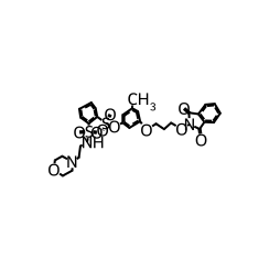 Cc1cc(OCCCON2C(=O)c3ccccc3C2=O)cc(OS(=O)(=O)c2ccccc2S(=O)(=O)NCCN2CCOCC2)c1